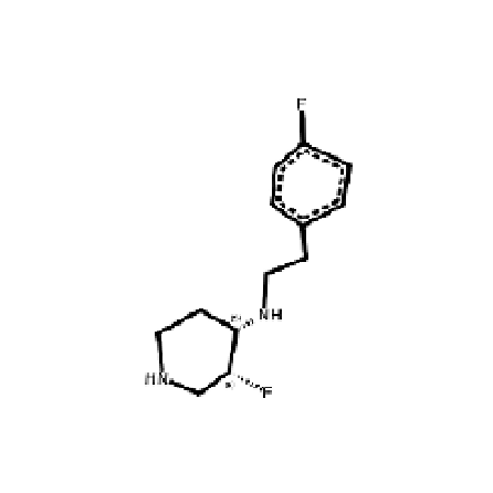 Fc1ccc(CCN[C@H]2CCNC[C@H]2F)cc1